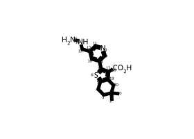 CC1(C)CCc2sc(-c3cncc(CNN)c3)c(C(=O)O)c2C1